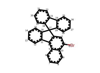 Brc1cc2c(c3ccccc13)-c1ccccc1C21c2ccccc2-c2ccccc21